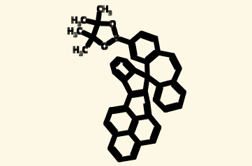 CC1(C)OB(c2ccc3c(c2)C2(c4ccccc4C=C3)c3ccccc3-c3c2cc2ccc4cccc5ccc3c2c45)OC1(C)C